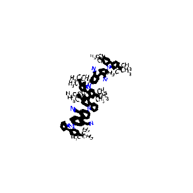 CC(C)(C)c1ccc2c3ccccc3n(-c3ccc(-c4ccc(-n5c6ccccc6c6c(-c7cc(C(C)(C)C)cc8c7c7ccc(C(C)(C)C)cc7n8-c7ccc(-c8ccc(-n9c%10cc(C(C)(C)C)ccc%10c%10ccc(C(C)(C)C)cc%109)cc8C#N)c(C#N)c7)cc(C(C)(C)C)cc65)cc4C#N)c(C#N)c3)c2c1